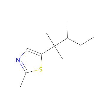 CCC(C)C(C)(C)c1cnc(C)s1